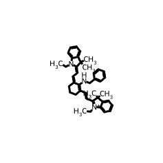 CCN1C(=CC=C2CCCC(C=CC3=[N+](CC)c4ccccc4C3(C)C)=C2NCc2ccccc2)C(C)(C)c2ccccc21